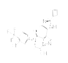 C[C@H]1CN(c2ccc(C(F)(F)F)c(Cl)c2)C(=O)c2c(-c3cnc(C4CCC4)[nH]3)cnn21